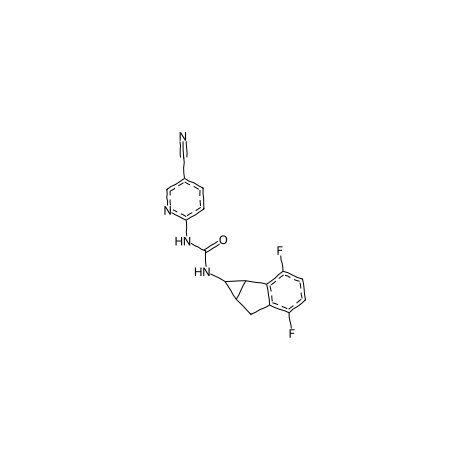 N#Cc1ccc(NC(=O)NC2C3Cc4c(F)ccc(F)c4C32)nc1